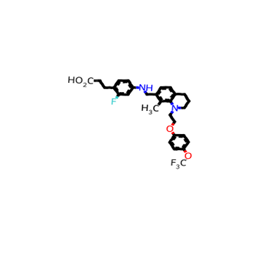 Cc1c(CNc2ccc(CCC(=O)O)c(F)c2)ccc2c1N(CCOc1ccc(OC(F)(F)F)cc1)CCC2